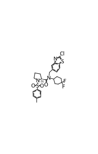 Cc1ccc(S(=O)(=O)N2CCC[C@H]2C(=O)N(Cc2ccc3sc(Cl)nc3c2)C2CCC(F)(F)CC2)cc1